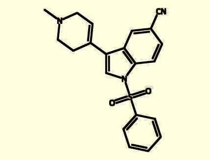 CN1CC=C(c2cn(S(=O)(=O)c3ccccc3)c3ccc(C#N)cc23)CC1